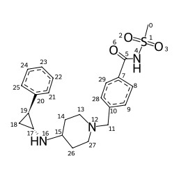 CS(=O)(=O)NC(=O)c1ccc(CN2CCC(N[C@@H]3C[C@H]3c3ccccc3)CC2)cc1